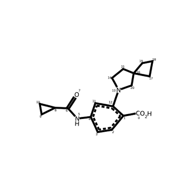 O=C(O)c1ccc(NC(=O)C2CC2)cc1N1CCC2(CCC2)C1